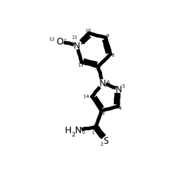 NC(=S)c1cnn(-c2ccc[n+]([O-])c2)c1